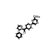 COc1cncc(N2CCC(C(=O)N3N=CC[C@H]3c3ccccc3)CC2)n1